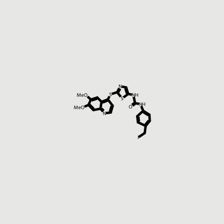 COc1cc2nccc(Sc3ncc(NC(=O)Nc4ccc(CI)cc4)s3)c2cc1OC